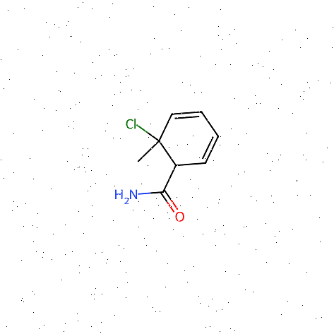 CC1(Cl)C=CC=CC1C(N)=O